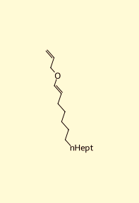 C=CCOC=CCCCCCCCCCCCC